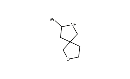 CC(C)C1CC2(CCOC2)CN1